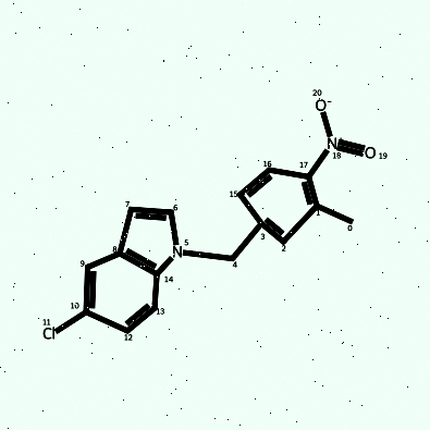 Cc1cc(Cn2ccc3cc(Cl)ccc32)ccc1[N+](=O)[O-]